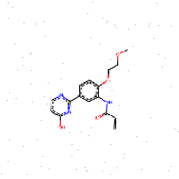 C=CC(=O)Nc1cc(-c2nccc(O)n2)ccc1OCCOC